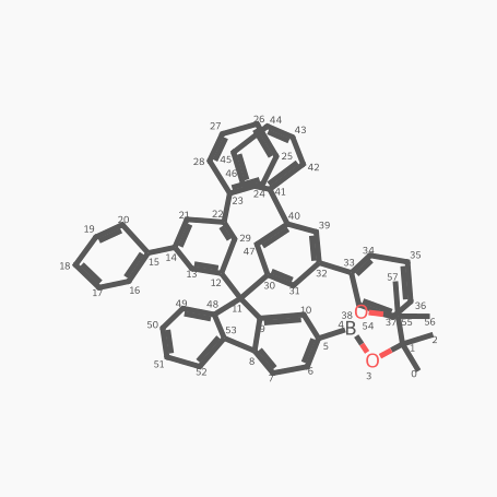 CC1(C)OB(c2ccc3c(c2)C(c2cc(-c4ccccc4)cc(-c4ccccc4)c2)(c2cc(-c4ccccc4)cc(-c4ccccc4)c2)c2ccccc2-3)OC1(C)C